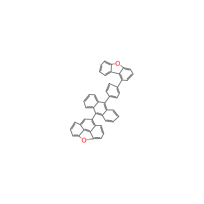 c1ccc2c(c1)oc1cccc(-c3ccc(-c4c5ccccc5c(-c5cc6cccc7oc8cccc5c8c67)c5ccccc45)cc3)c12